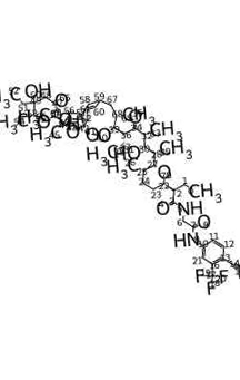 CCC(C(=O)NCC(=O)Nc1ccc(C#N)c(C(F)(F)F)c1)[C@H]1CC[C@H](C)[C@H]([C@@H](C)[C@H](O)[C@H](C)C(=O)[C@H](CC)[C@H]2OO[C@@]34O[C@](C)([C@H]5CC[C@](O)(CC)[C@H](C)O5)C[C@@H]3CC(C=C[C@H]4OC(C)=O)C[C@@H]2C)O1